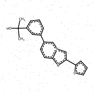 CC(C)(O)c1cccc(-c2ccc3nc(-c4ccco4)cn3c2)c1